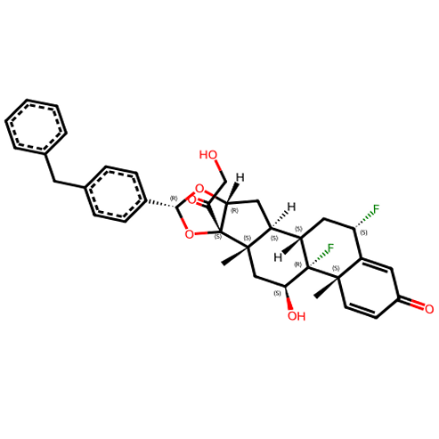 C[C@]12C=CC(=O)C=C1[C@@H](F)C[C@H]1[C@@H]3C[C@H]4O[C@@H](c5ccc(Cc6ccccc6)cc5)O[C@@]4(C(=O)CO)[C@@]3(C)C[C@H](O)[C@@]12F